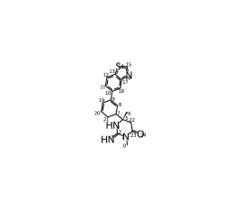 CN1C(=N)N[C@](C)(C2C=C(c3ccc4scnc4c3)C=CC2)CC1=O